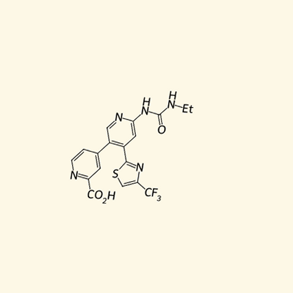 CCNC(=O)Nc1cc(-c2nc(C(F)(F)F)cs2)c(-c2ccnc(C(=O)O)c2)cn1